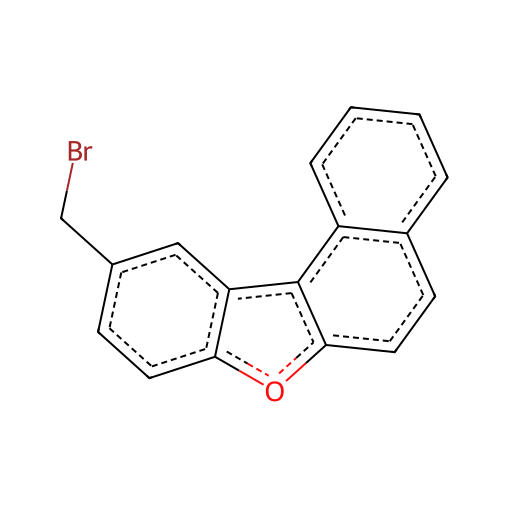 BrCc1ccc2oc3ccc4ccccc4c3c2c1